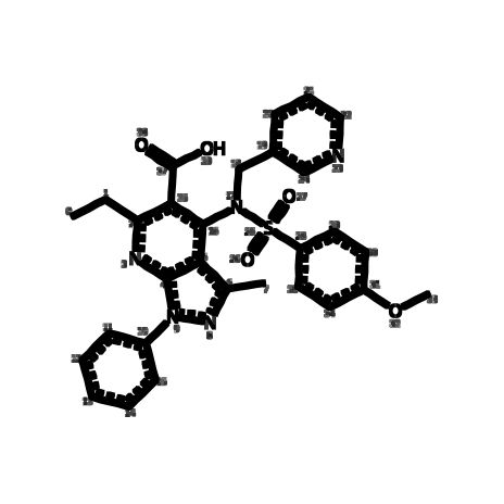 CCc1nc2c(c(C)nn2-c2ccccc2)c(N(Cc2cccnc2)S(=O)(=O)c2ccc(OC)cc2)c1C(=O)O